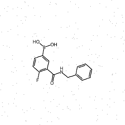 O=C(NCc1ccccc1)c1cc(B(O)O)ccc1F